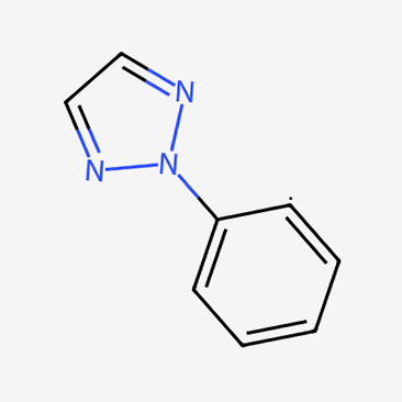 [c]1ccccc1-n1nccn1